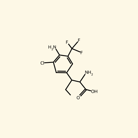 CCC(c1cc(Cl)c(N)c(C(F)(F)F)c1)C(N)C(=O)O